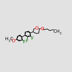 CCCCCOC1CCC(c2ccc(-c3ccc(OC)cc3F)c(F)c2F)CO1